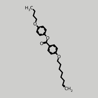 C=CCCCCCCOc1ccc(C(=O)Oc2ccc(OCCCC)cc2)cc1